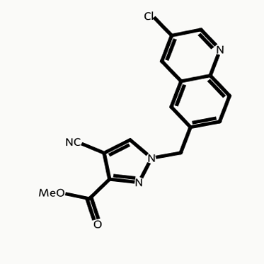 COC(=O)c1nn(Cc2ccc3ncc(Cl)cc3c2)cc1C#N